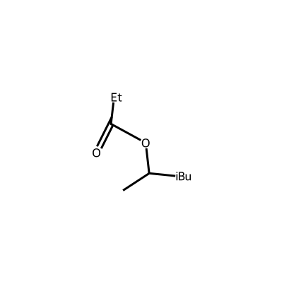 [CH2]CC(=O)OC(C)C(C)CC